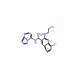 C[C@H](Nc1ccnc2ccnn12)c1cc2cccc(Cl)c2nc1NCCO